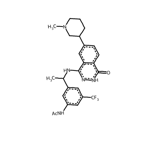 CC(=O)Nc1cc(C(C)Nc2n[nH]c(=O)c3ccc(C4CCCN(C)C4)cc23)cc(C(F)(F)F)c1